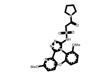 COc1cccc(-c2nnc(NS(=O)(=O)CC(=O)N3CCCC3)n2-c2c(OC)cccc2OC)n1